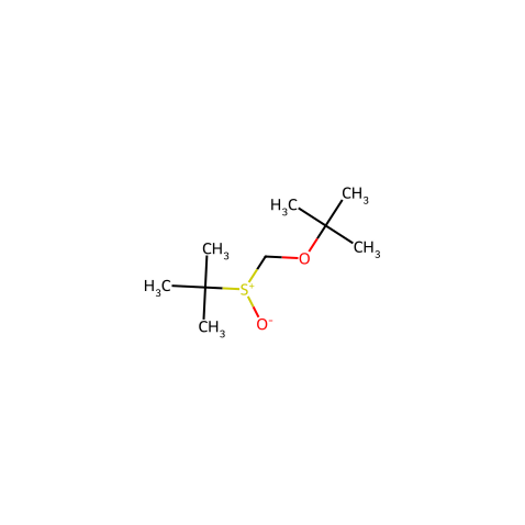 CC(C)(C)OC[S+]([O-])C(C)(C)C